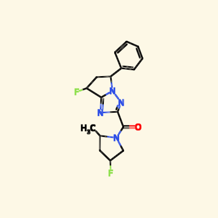 CC1CC(F)CN1C(=O)c1nc2n(n1)C(c1ccccc1)CC2F